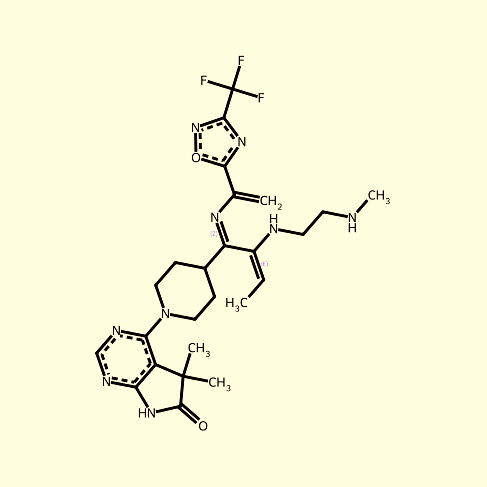 C=C(/N=C(\C(=C/C)NCCNC)C1CCN(c2ncnc3c2C(C)(C)C(=O)N3)CC1)c1nc(C(F)(F)F)no1